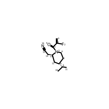 C=C(F)C(=O)N1CC[C@H](C(C)C)C[C@H]1CC#N